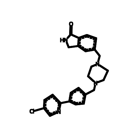 O=C1NCc2cc(CN3CCN(Cc4ccc(-c5ccc(Cl)cn5)cc4)CC3)ccc21